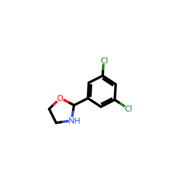 Clc1cc(Cl)cc(C2NCCO2)c1